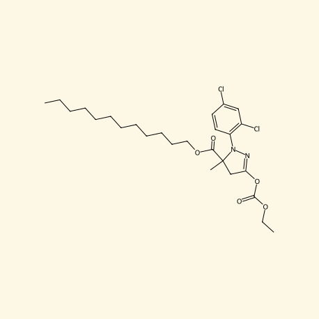 CCCCCCCCCCCCOC(=O)C1(C)CC(OC(=O)OCC)=NN1c1ccc(Cl)cc1Cl